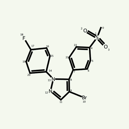 CS(=O)(=O)c1ccc(-c2c(Br)cnn2-c2ccc(F)cc2)cc1